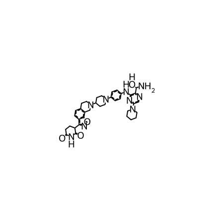 NC(O)c1ncc(N2CCCCC2)nc1Nc1ccc(N2CCC(N3CCc4ccc5c(C6CCC(=O)NC6=O)noc5c4C3)CC2)cc1